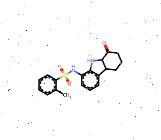 Cc1ccccc1S(=O)(=O)Nc1cccc2c1NC1C(=O)CCCC21